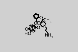 CC1Oc2ccccc2COC12CCN(CCCN)CC2.O=C(O)C(=O)O.O=C(O)C(=O)O